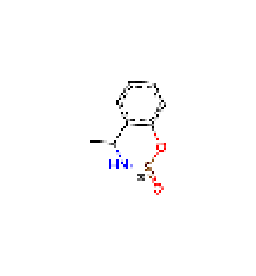 CC1N[S@@](=O)Oc2ccccc21